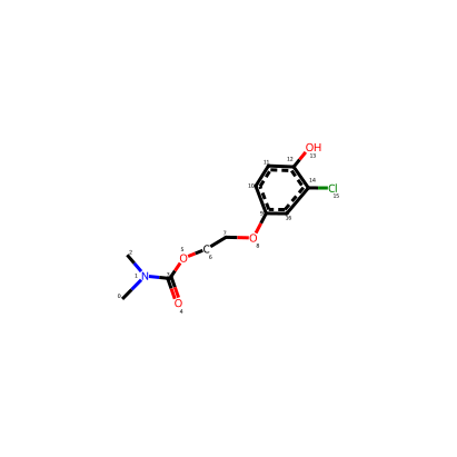 CN(C)C(=O)OCCOc1ccc(O)c(Cl)c1